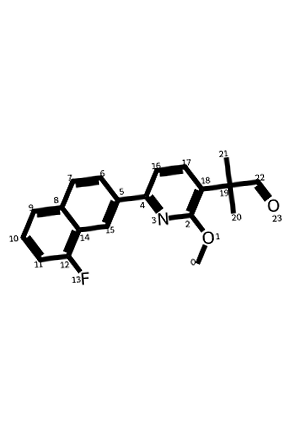 COc1nc(-c2ccc3cccc(F)c3c2)ccc1C(C)(C)C=O